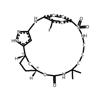 CC1(C)CCCNS(=O)(=O)c2ccc(c(F)c2)Nc2cc([nH]n2)[C@H]2CC[C@H](C2)OC(=O)N1